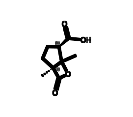 CC12OC(=O)[C@@]1(C)CC[C@H]2C(=O)O